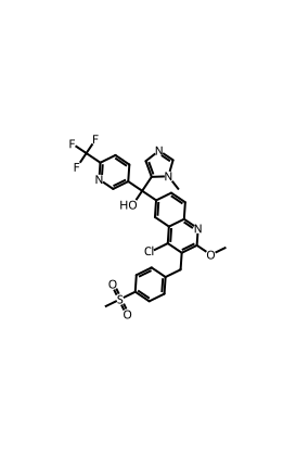 COc1nc2ccc(C(O)(c3ccc(C(F)(F)F)nc3)c3cncn3C)cc2c(Cl)c1Cc1ccc(S(C)(=O)=O)cc1